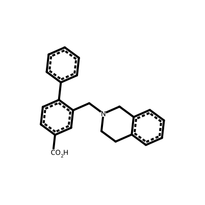 O=C(O)c1ccc(-c2ccccc2)c(CN2CCc3ccccc3C2)c1